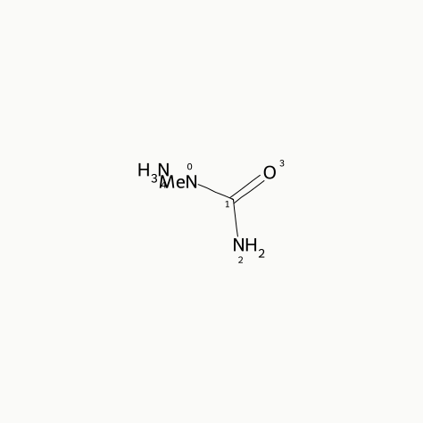 CNC(N)=O.N